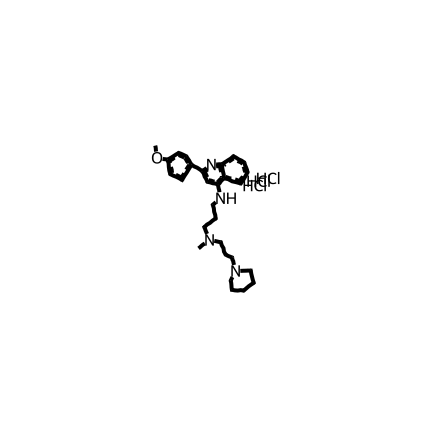 COc1ccc(-c2cc(NCCCN(C)CCCN3CCCCC3)c3ccccc3n2)cc1.Cl.Cl.Cl